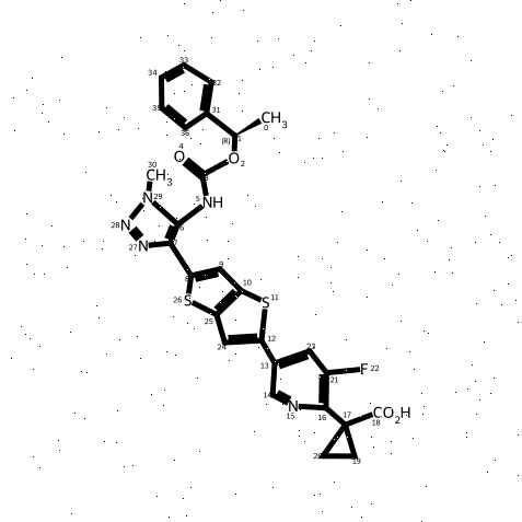 C[C@@H](OC(=O)Nc1c(-c2cc3sc(-c4cnc(C5(C(=O)O)CC5)c(F)c4)cc3s2)nnn1C)c1ccccc1